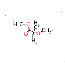 COC(=O)C(C)(C)OC